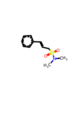 CN(C)S(=O)(=O)CC=Cc1ccccc1